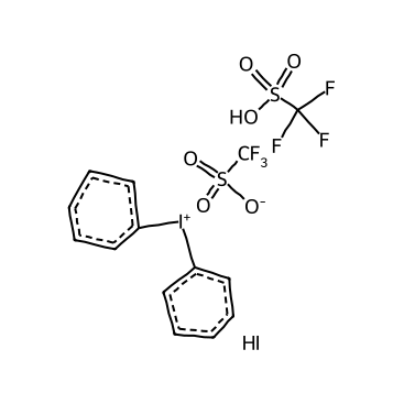 I.O=S(=O)(O)C(F)(F)F.O=S(=O)([O-])C(F)(F)F.c1ccc([I+]c2ccccc2)cc1